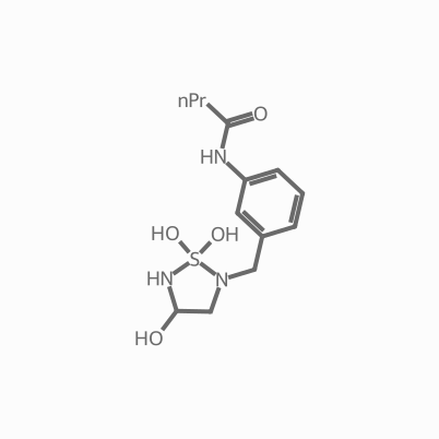 CCCC(=O)Nc1cccc(CN2CC(O)NS2(O)O)c1